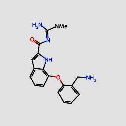 CNC(N)=NC(=O)c1cc2cccc(Oc3ccccc3CN)c2[nH]1